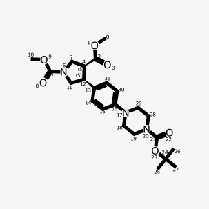 COC(=O)[C@@H]1CN(C(=O)OC)C[C@@H]1c1ccc(N2CCN(C(=O)OC(C)(C)C)CC2)cc1